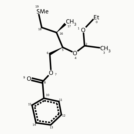 CCOC(C)O[C@@H](COC(=O)c1ccccc1)[C@H](C)CSC